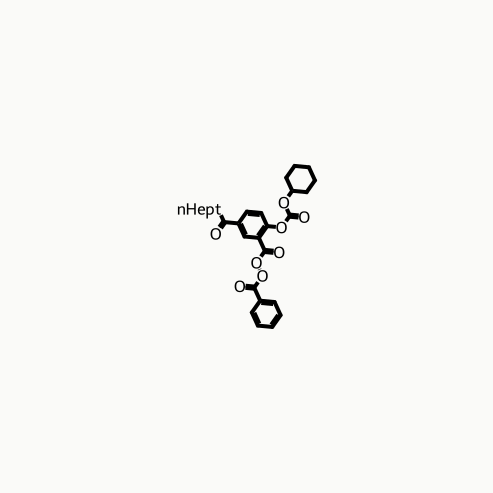 CCCCCCCC(=O)c1ccc(OC(=O)OC2CCCCC2)c(C(=O)OOC(=O)c2ccccc2)c1